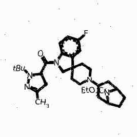 CCOC(=O)N1C2CCC1CC(N1CCC3(CC1)CN(C(=O)C1CC(C)=NN1C(C)(C)C)c1ccc(F)cc13)C2